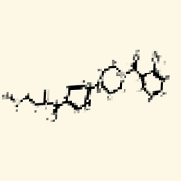 CCSCCNC(=O)c1ccc(N2CCN(C(=O)c3ccccc3C(F)(F)F)CC2)nc1